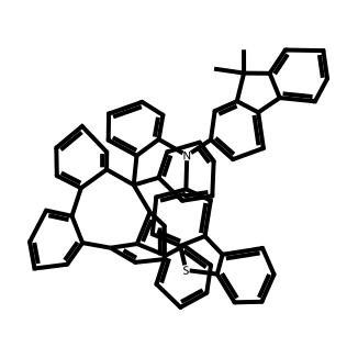 CC1(C)c2ccccc2-c2ccc(N(c3ccc4sc5ccccc5c4c3)c3ccccc3C3(c4ccccc4)c4ccccc4-c4ccccc4-c4cccc3c4-c3ccccc3)cc21